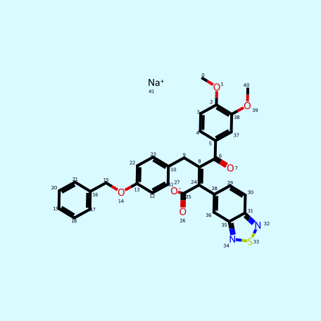 COc1ccc(C(=O)C(Cc2ccc(OCc3ccccc3)cc2)=C(C(=O)[O-])c2ccc3nsnc3c2)cc1OC.[Na+]